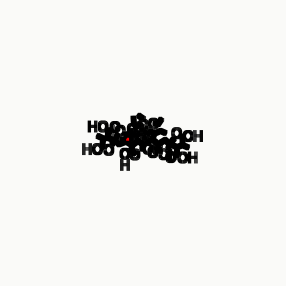 CCO[Si](OCC)(O[Si](OCC)(OCC)C(CC)C(C(=O)O)C(CC(C)(C)C(C(=O)O)C(C)C(=O)O)C(=O)O)C(CC)C(C(=O)O)C(CC(C)(C)C(C(=O)O)C(C)C(=O)O)C(=O)O